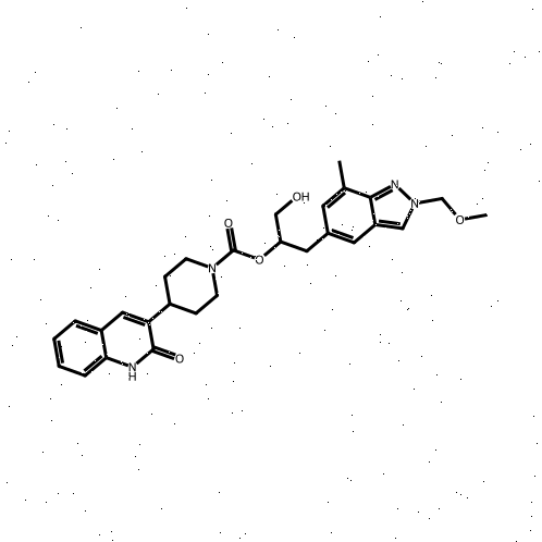 COCn1cc2cc(CC(CO)OC(=O)N3CCC(c4cc5ccccc5[nH]c4=O)CC3)cc(C)c2n1